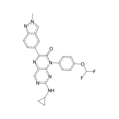 Cn1cc2cc(-c3nc4cnc(NC5CC5)nc4n(-c4ccc(OC(F)F)cc4)c3=O)ccc2n1